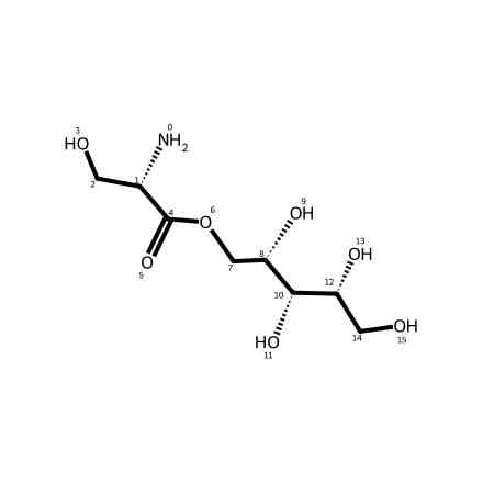 N[C@@H](CO)C(=O)OC[C@H](O)[C@@H](O)[C@H](O)CO